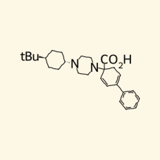 CC(C)(C)[C@H]1CC[C@H](N2CCN(C3(C(=O)O)C=CC(c4ccccc4)=CC3)CC2)CC1